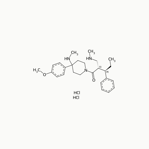 CC[C@@H](c1ccccc1)[C@@H](CNC)C(=O)N1CCC(NC)(c2ccc(OC)cc2)CC1.Cl.Cl